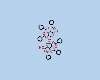 O=C(OC1C(S)OC(COC2OC(CO)C(OC(=O)c3ccccc3)C(OC(=O)c3ccccc3)C2OC(=O)c2ccccc2)C(OC(=O)c2ccccc2)C1OC(=O)c1ccccc1)c1ccccc1